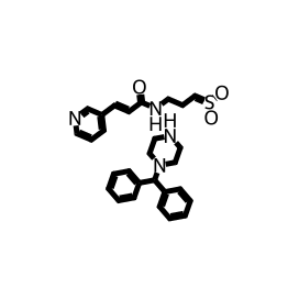 O=C(C=Cc1cccnc1)NCCC=S(=O)=O.c1ccc(C(c2ccccc2)N2CCNCC2)cc1